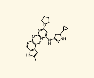 Cc1cc2c(F)c(Oc3nc(Nc4cc(C5CC5)[nH]n4)cc(N4CCCC4)n3)ccc2[nH]1